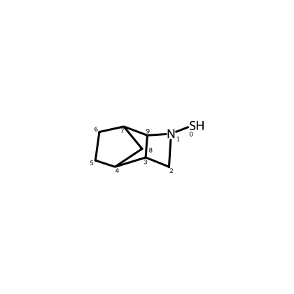 SN1CC2C3CCC(C3)C21